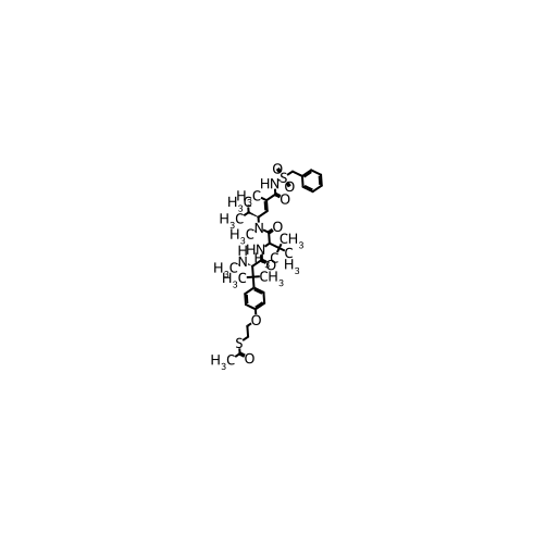 CN[C@H](C(=O)NC(C(=O)N(C)[C@H](/C=C(\C)C(=O)NS(=O)(=O)Cc1ccccc1)C(C)C)C(C)(C)C)C(C)(C)c1ccc(OCCSC(C)=O)cc1